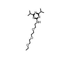 CCOCCOCCOCCNc1nc(C(C)C)nc(C(C)C)n1